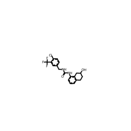 O=C(NCc1ccc(Cl)c(C(F)(F)F)c1)Nc1cccc2c1CC(O)CC2